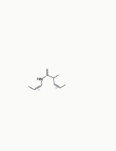 C=C(N/C=C\C)C(C)/C=C\C